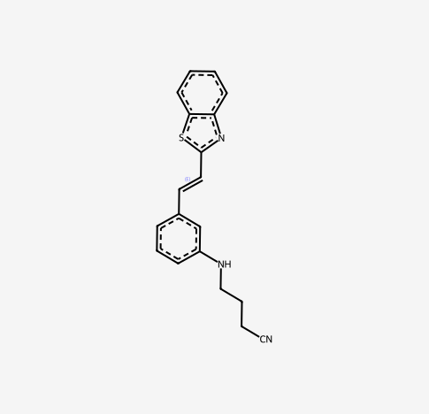 N#CCCCNc1cccc(/C=C/c2nc3ccccc3s2)c1